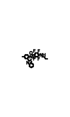 CCCCNc1c(F)c(F)c(C(=O)Nc2ccc(C)cc2-c2nc3ccccc3s2)c(F)c1F